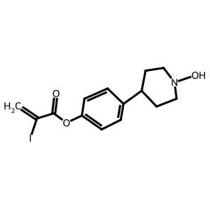 C=C(I)C(=O)Oc1ccc(C2CCN(O)CC2)cc1